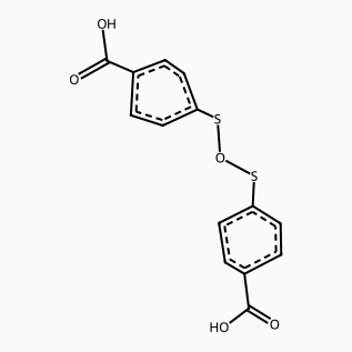 O=C(O)c1ccc(SOSc2ccc(C(=O)O)cc2)cc1